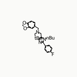 CCCCn1c(CN(Cc2ccc3c(c2)OCO3)CC(C)(C)C)cnc1-c1ccc(F)cc1